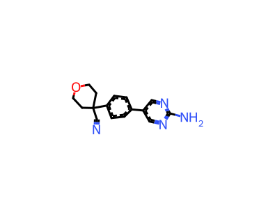 N#CC1(c2ccc(-c3cnc(N)nc3)cc2)CCOCC1